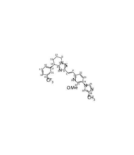 COc1nc(/C=C/c2nc3n(n2)CCC[C@@H]3c2cccc(C(F)(F)F)c2)ccc1-n1cnc(C)c1